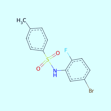 Cc1ccc(S(=O)(=O)Nc2cc(Br)ccc2F)cc1